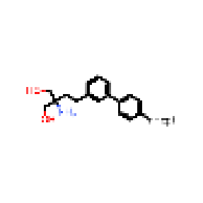 CCCCCCCc1ccc(-c2cccc(CCC(N)(CO)CO)c2)cc1